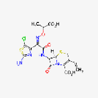 C=CC1=C(C(=O)O)N2C(=O)C(NC(=O)/C(=N\OC(C)C(=O)O)c3nc(N)sc3Cl)[C@H]2SC1